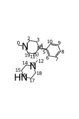 CN1CC[C@@H](c2ccccc2)[C@H](CN2CCNCC2)C1